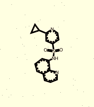 O=S(=O)(Nc1cccc2cccnc12)c1ccnc(C2CC2)c1